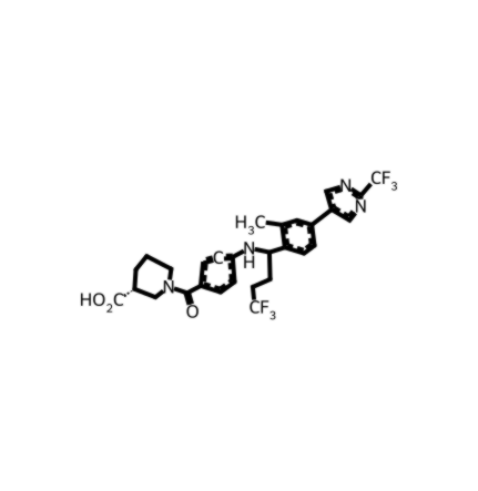 Cc1cc(-c2cnc(C(F)(F)F)nc2)ccc1C(CCC(F)(F)F)Nc1ccc(C(=O)N2CCC[C@@H](C(=O)O)C2)cc1